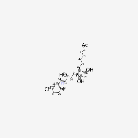 CC(=O)CCCCCC[C@@H]1[C@@H](CCC(O)/C=C/c2cc(Cl)ccc2F)[C@H](O)C[C@@H]1O